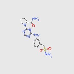 NC(=O)C1CCCN1c1ncnc(Nc2cccc(CS(N)(=O)=O)c2)n1